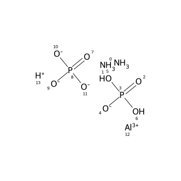 N.N.O=P([O-])(O)O.O=P([O-])([O-])[O-].[Al+3].[H+]